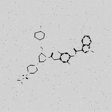 CN(C)S(=O)(=O)N1CCN([C@H]2C[C@@H](CO[C@H]3CC[C@H](C)CC3)N(C(=O)Cc3cc(Cl)c(NC(=O)c4cn(C)c5ccccc45)cc3Cl)C2)CC1